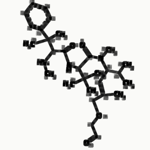 CNC(C(=O)NC(C(=O)N(C)C(/C=C(\C)COCC=O)C(C)C)C(C)(C)C)C(C)(C)c1ccccc1